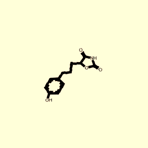 O=C1NC(=O)C(CCCc2ccc(O)cc2)O1